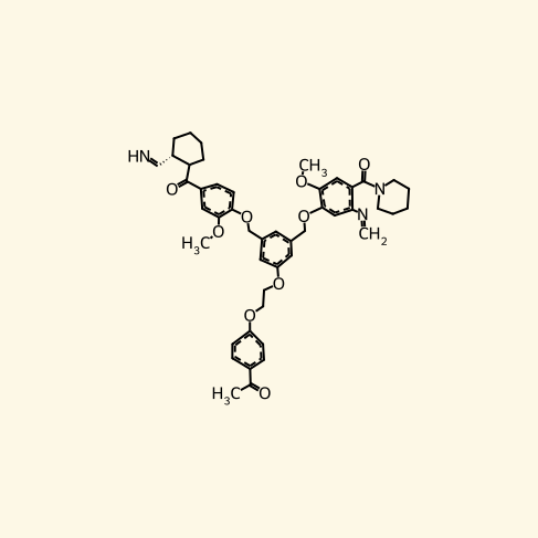 C=Nc1cc(OCc2cc(COc3ccc(C(=O)C4CCCC[C@H]4C=N)cc3OC)cc(OCCOc3ccc(C(C)=O)cc3)c2)c(OC)cc1C(=O)N1CCCCC1